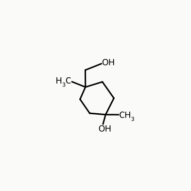 CC1(O)CCC(C)(CO)CC1